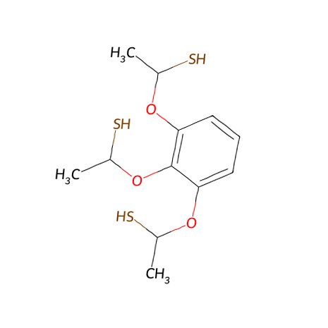 CC(S)Oc1cccc(OC(C)S)c1OC(C)S